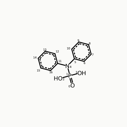 O=P(O)(O)N(c1ccccc1)c1ccccc1